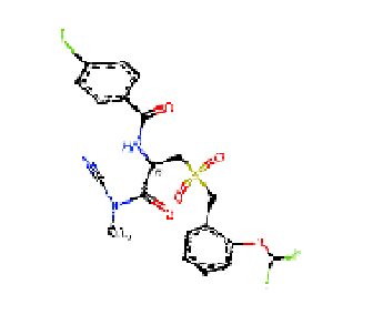 CN(C#N)C(=O)[C@H](CS(=O)(=O)Cc1ccccc1OC(F)F)NC(=O)c1ccc(F)cc1